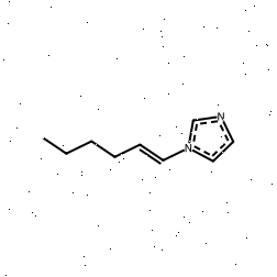 CCCCC=Cn1ccnc1